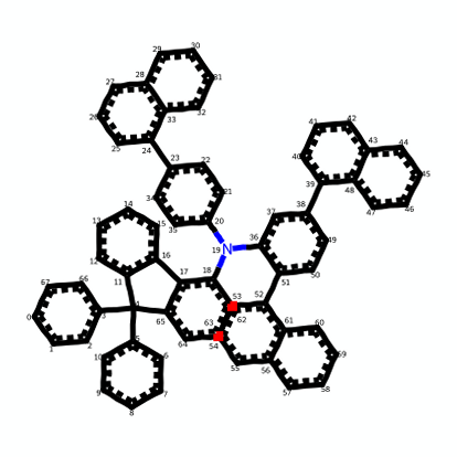 c1ccc(C2(c3ccccc3)c3ccccc3-c3c(N(c4ccc(-c5cccc6ccccc56)cc4)c4cc(-c5cccc6ccccc56)ccc4-c4cccc5ccccc45)cccc32)cc1